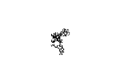 CCc1nc2c(n1C)[C@@H]1C[C@@H](O[C@@H]3OC(C)[C@H](OC)C(OC)C3OC)C[C@H]1[C@@H]1C=C3C(=O)[C@H](C)[C@@H](O[C@H]4CC[C@H](N(C)C)C(C)O4)CCC[C@H](CC)OC(=O)C[C@H]3[C@H]21